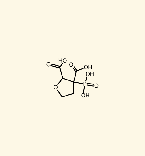 O=C(O)C1OCCC1(C(=O)O)P(=O)(O)O